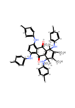 Cc1ccc(Nc2ccc(Nc3ccc(C)cc3)c3c2C(=O)C2=C(C3=O)C(Nc3ccc(C)cc3)(S(=O)(=O)O)C(S(=O)(=O)O)=C(S(=O)(=O)O)C2(Nc2ccc(C)cc2)S(=O)(=O)O)cc1